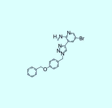 Nc1ncc(Br)cc1-c1cn(Cc2ccc(OCc3ccccc3)cc2)nn1